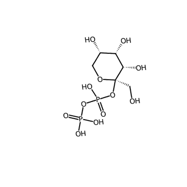 O=P(O)(O)OP(=O)(O)O[C@@]1(CO)OC[C@H](O)[C@H](O)[C@@H]1O